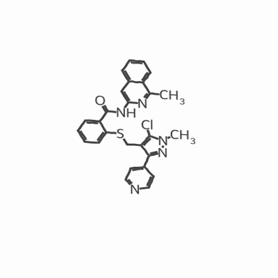 Cc1nc(NC(=O)c2ccccc2SCc2c(-c3ccncc3)nn(C)c2Cl)cc2ccccc12